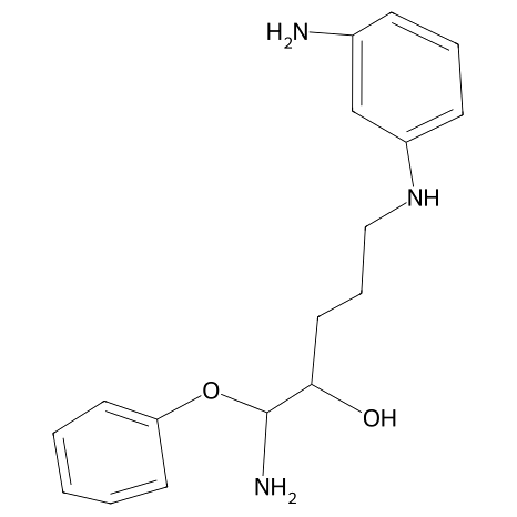 Nc1cccc(NCCCC(O)C(N)Oc2ccccc2)c1